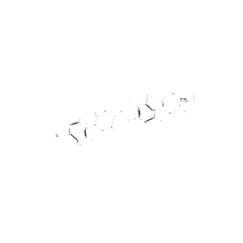 CCCCOc1ccc(C2CCC(CCc3ccc(C4CCC(C)CC4)c(F)c3F)CC2)cc1F